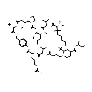 CCCCCC(C)(C)[C@@H](C(=O)N[C@H](C(=O)N(C)[C@@H]([C@@H](C)CC)[C@@H](CC(=O)N1CCC[C@H]1[C@H](OC)[C@@H](C)C(=O)N[C@@H](C#N)C(=O)NCc1ccc(NC(=O)[C@H](CCCNC(N)=O)NC(=O)[C@@H](NC(=O)CCCN2CCC(C(=O)NC(C)CC)CC2C(F)(F)F)C(C)C)cc1)OC)C(C)C)N(C)C